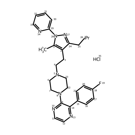 Cc1c(CCN2CCN(c3nccnc3-c3ccc(F)cc3)CC2)c(CC(C)C)nn1-c1ccccn1.Cl